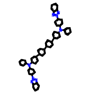 c1ccc(N(c2ccc(-c3ccc(-c4ccc(-c5ccc(N(c6ccccc6)c6ccc(-n7nc8ccccc8n7)cc6)cc5)cc4)cc3)cc2)c2ccc(-n3nc4ccccc4n3)cc2)cc1